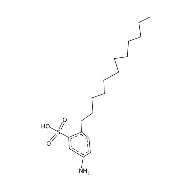 CCCCCCCCCCCCc1ccc(N)cc1S(=O)(=O)O